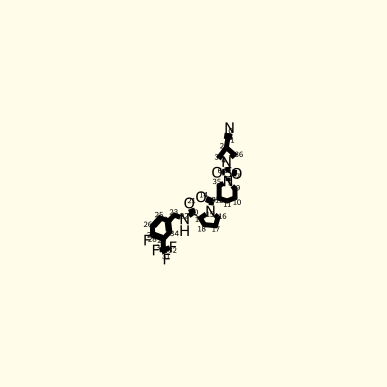 N#CC1CN(S(=O)(=O)N2CCC[C@H](C(=O)N3CCC[C@@H]3C(=O)NCc3ccc(F)c(C(F)(F)F)c3)C2)C1